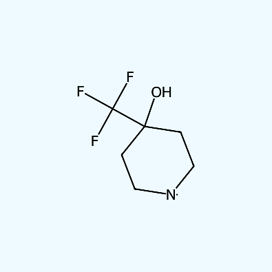 OC1(C(F)(F)F)CC[N]CC1